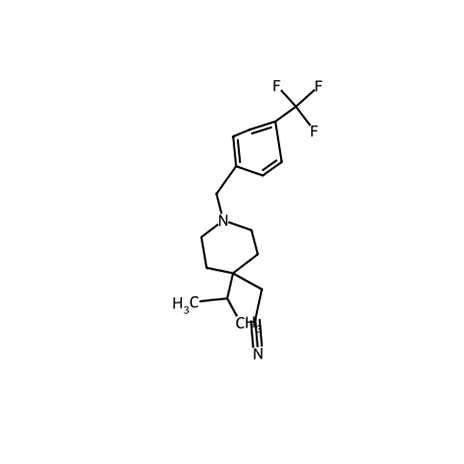 CC(C)C1(CC#N)CCN(Cc2ccc(C(F)(F)F)cc2)CC1